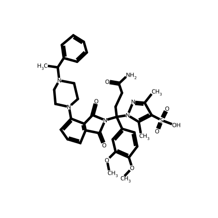 COc1ccc(C(CCC(N)=O)(N2C(=O)c3cccc(N4CCN(C(C)c5ccccc5)CC4)c3C2=O)n2nc(C)c(S(=O)(=O)O)c2C)cc1OC